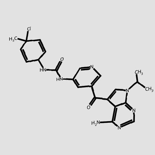 CC(C)n1cc(C(=O)c2cncc(NC(=O)NC3C=CC(C)(Cl)C=C3)c2)c2c(N)ncnc21